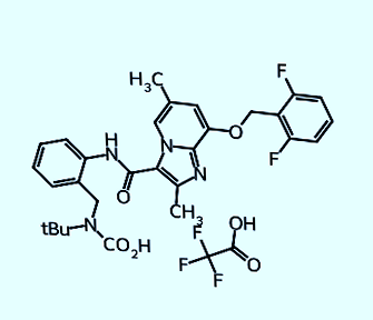 Cc1cc(OCc2c(F)cccc2F)c2nc(C)c(C(=O)Nc3ccccc3CN(C(=O)O)C(C)(C)C)n2c1.O=C(O)C(F)(F)F